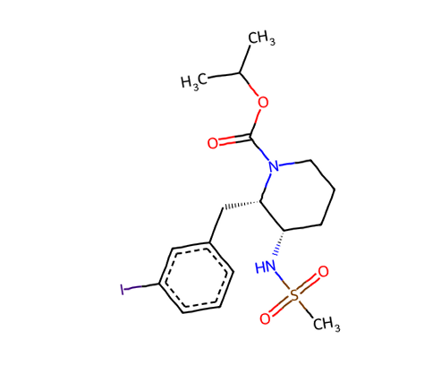 CC(C)OC(=O)N1CCC[C@H](NS(C)(=O)=O)[C@@H]1Cc1cccc(I)c1